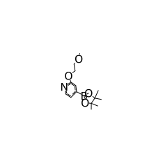 COCCOc1cc(B2OC(C)(C)C(C)(C)O2)ccn1